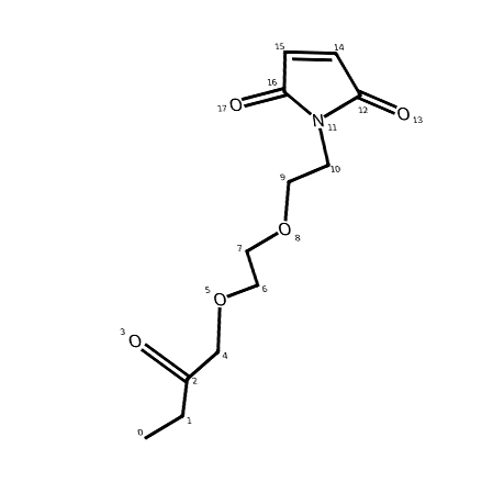 CCC(=O)COCCOCCN1C(=O)C=CC1=O